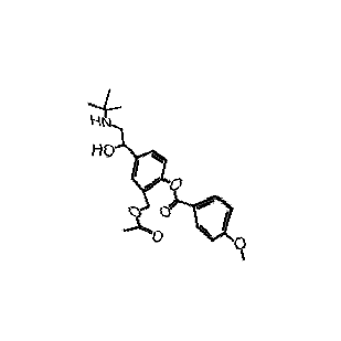 COc1ccc(C(=O)Oc2ccc(C(O)CNC(C)(C)C)cc2COC(C)=O)cc1